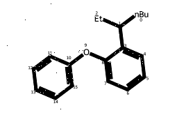 CCCCC(CC)c1ccccc1Oc1[c]cccc1